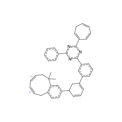 CC1(C)C/C=C\C=C/Cc2ccc(C3C=CC=C(c4cccc(-c5nc(C6=CCC=CC=C6)nc(-c6ccccc6)n5)c4)C3)cc21